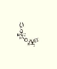 CSc1cnc(-c2ccc(NC(=O)Nc3ccc(N4CCOCC4)cc3)cc2)nc1N1CCOCC1